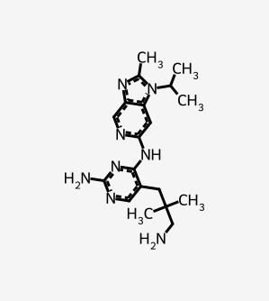 Cc1nc2cnc(Nc3nc(N)ncc3CC(C)(C)CN)cc2n1C(C)C